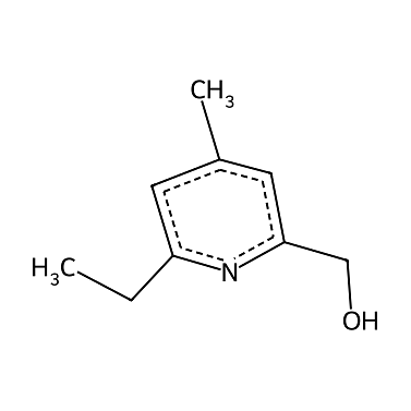 CCc1cc(C)cc(CO)n1